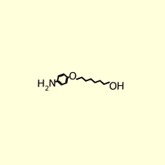 Nc1ccc(OCCCCCCCCO)cc1